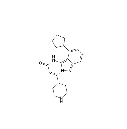 O=c1cc(C2CCNCC2)n2nc3cccc(C4CCCC4)c3c2[nH]1